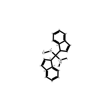 C[SiH](C)[C]([Zr][Cl])(C1C=Cc2ccccc21)C1C=Cc2ccccc21